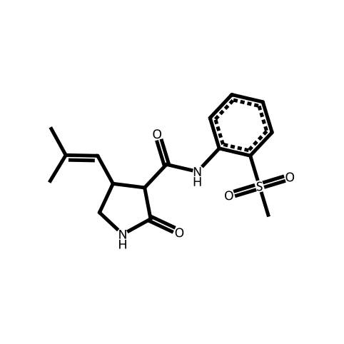 CC(C)=CC1CNC(=O)C1C(=O)Nc1ccccc1S(C)(=O)=O